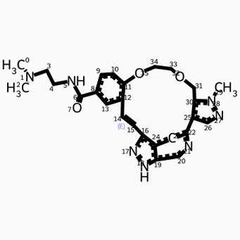 CN(C)CCNC(=O)c1ccc2c(c1)/C=C/c1n[nH]c3cnc(cc13)-c1cnn(C)c1COCCO2